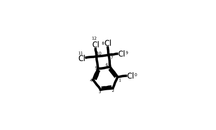 Clc1cccc2c1C(Cl)(Cl)C2(Cl)Cl